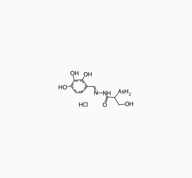 Cl.O=C(N/N=C/c1ccc(O)c(O)c1O)C([AsH2])CO